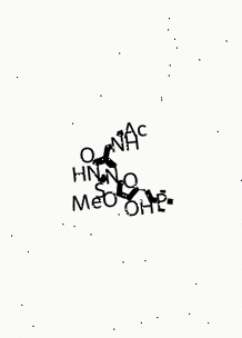 C=P(C)(C)CC[C@H]1O[C@@H](n2cc(CNCC(C)=O)c(=O)[nH]c2=S)[C@H](OC)[C@@H]1O